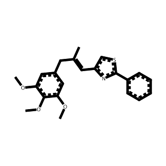 COc1cc(CC(C)=Cc2csc(-c3ccccc3)n2)cc(OC)c1OC